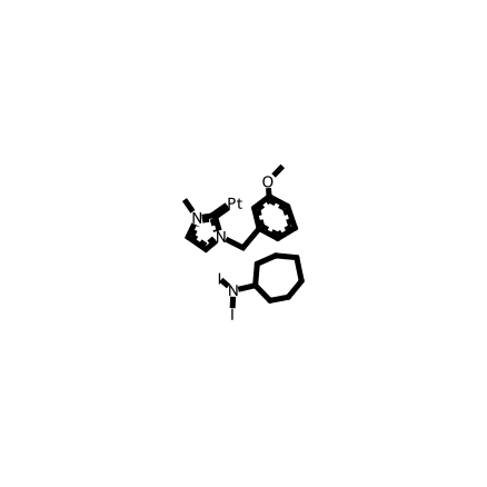 COc1cccc(Cn2ccn(C)[c]2=[Pt])c1.IN(I)C1CCCCCC1